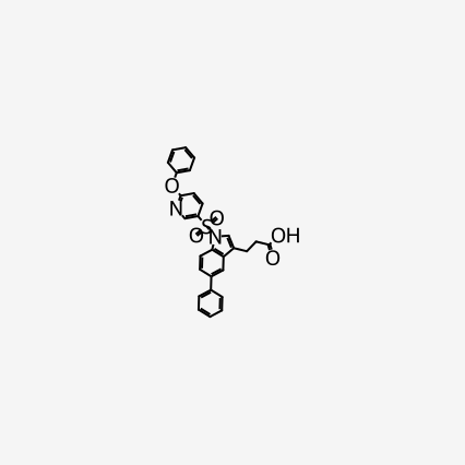 O=C(O)CCc1cn(S(=O)(=O)c2ccc(Oc3ccccc3)nc2)c2ccc(-c3ccccc3)cc12